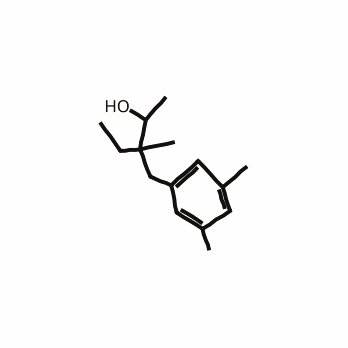 CCC(C)(Cc1cc(C)cc(C)c1)C(C)O